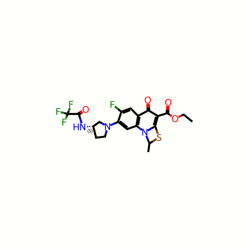 CCOC(=O)c1c2n(c3cc(N4CC[C@H](NC(=O)C(F)(F)F)C4)c(F)cc3c1=O)C(C)S2